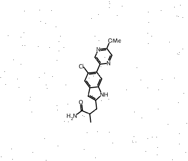 COc1cnc(-c2cc3[nH]c(CC(C)C(N)=O)cc3cc2Cl)cn1